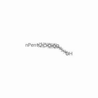 CCCCCC1CCC(C2CCC(c3ccc(-c4ccc(OCCCCCCCCO)cc4)cc3)CC2)CC1